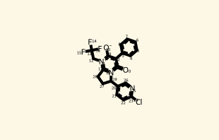 O=c1c(-c2ccccc2)c([O-])[n+](CC(F)(F)F)c2n1C(c1ccc(Cl)nc1)CC2